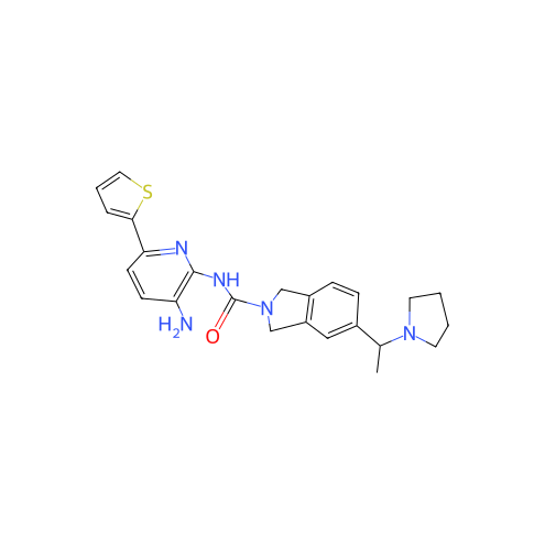 CC(c1ccc2c(c1)CN(C(=O)Nc1nc(-c3cccs3)ccc1N)C2)N1CCCC1